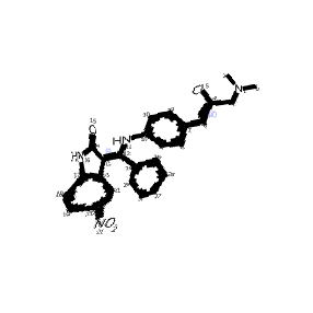 CN(C)C/C(Cl)=C/c1ccc(N/C(=C2\C(=O)Nc3ccc([N+](=O)[O-])cc32)c2ccccc2)cc1